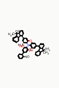 Cc1cc(-c2cccc3c2-c2ccccc2C3(C)C)cc2c1N(c1c(O)cc(-c3ccccc3N=O)cc1O)c1c(C)cc(-c3cccc4c3-c3ccccc3C4(C)C)cc1O2